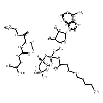 NCCCCNCCC(N)OP(=O)(OC[C@H]1O[C@@H](n2cnc3c(N)ncnc32)[C@H](O)[C@@H]1O)OP(=O)(O)OP(=O)(O)O.N[C@@H](CCC(=O)N[C@@H](CS)C(=O)NCC(=O)O)C(=O)O